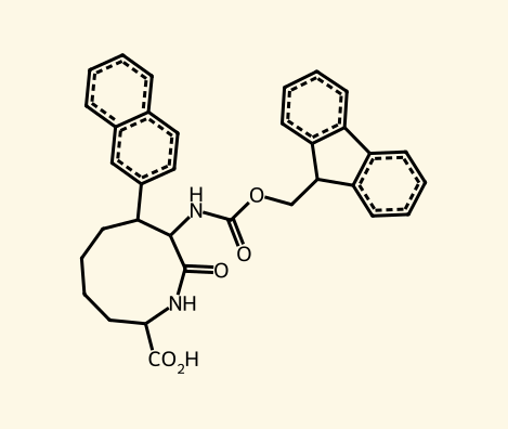 O=C(NC1C(=O)NC(C(=O)O)CCCCC1c1ccc2ccccc2c1)OCC1c2ccccc2-c2ccccc21